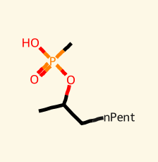 CCCCCCC(C)OP(C)(=O)O